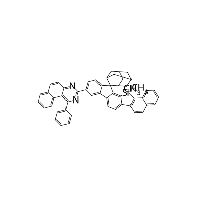 C[Si]1(C)c2c(ccc3c2C2(c4ccc(-c5nc(-c6ccccc6)c6c(ccc7ccccc76)n5)cc4-3)C3CC4CC(C3)CC2C4)-c2ccc3ccccc3c21